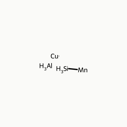 [AlH3].[Cu].[SiH3][Mn]